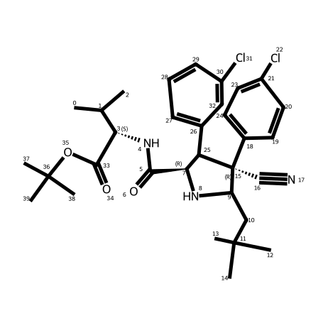 CC(C)[C@H](NC(=O)[C@@H]1NC(CC(C)(C)C)[C@](C#N)(c2ccc(Cl)cc2)C1c1cccc(Cl)c1)C(=O)OC(C)(C)C